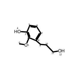 COc1c(O)cccc1CCCO